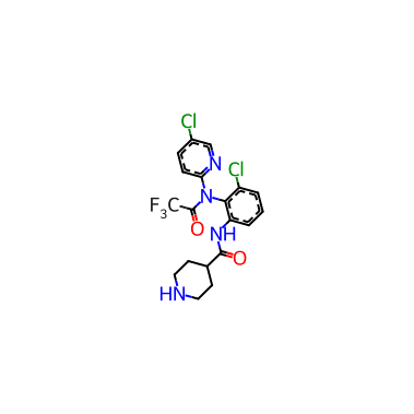 O=C(Nc1cccc(Cl)c1N(C(=O)C(F)(F)F)c1ccc(Cl)cn1)C1CCNCC1